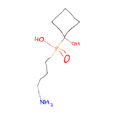 NCCCP(=O)(O)C1(O)CCC1